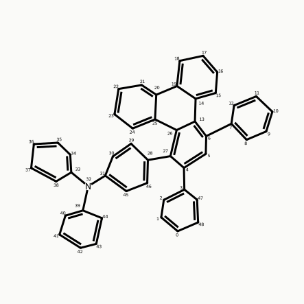 c1ccc(-c2cc(-c3ccccc3)c3c4ccccc4c4ccccc4c3c2-c2ccc(N(c3ccccc3)c3ccccc3)cc2)cc1